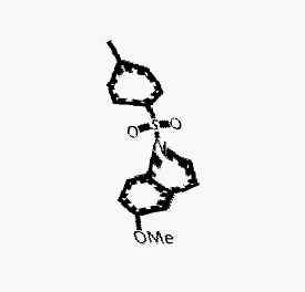 COc1ccc2c(ccn2S(=O)(=O)c2ccc(C)cc2)c1